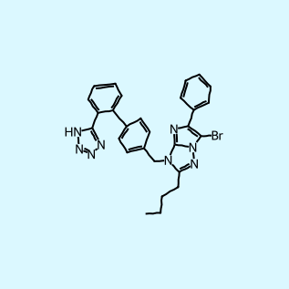 CCCCc1nn2c(Br)c(-c3ccccc3)nc2n1Cc1ccc(-c2ccccc2-c2nnn[nH]2)cc1